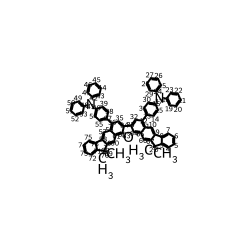 CC1(C)c2ccccc2-c2cc3c(-c4ccc(N(c5ccccc5)c5ccccc5)cc4)cc4c5cc(-c6ccc(N(c7ccccc7)c7ccccc7)cc6)c6cc7c(cc6c5oc4c3cc21)C(C)(C)c1ccccc1-7